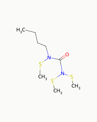 CCCCN(SC)C(=O)N(SC)SC